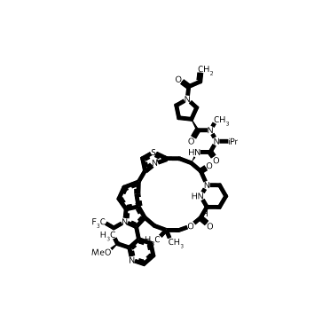 C=CC(=O)N1CC[C@H](C(=O)N(C)N(C(=O)N[C@H]2Cc3nc(cs3)-c3ccc4c(c3)c(c(-c3cccnc3[C@H](C)OC)n4CC(F)(F)F)CC(C)(C)COC(=O)[C@@H]3CCCN(N3)C2=O)C(C)C)C1